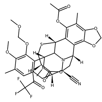 COCOc1c(OC)c(C)cc2c1[C@@H]1C3[C@@H]4SC[C@H](NC(=O)C(F)(F)F)C(=O)OC[C@@H](c5c6c(c(C)c(OC(C)=O)c54)OCO6)N3[C@@H](C#N)[C@H](C2)N1C